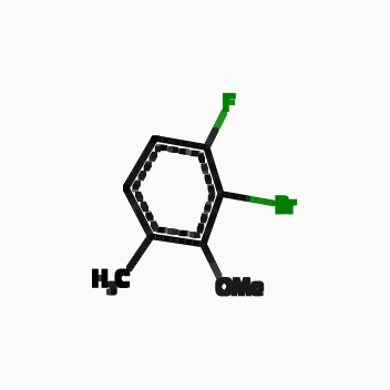 COc1c(C)ccc(F)c1Br